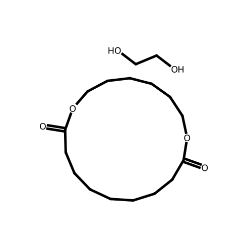 O=C1CCCCCCCC(=O)OCCCCCCO1.OCCO